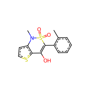 Cc1ccccc1C1=C(O)c2sccc2N(C)S1(=O)=O